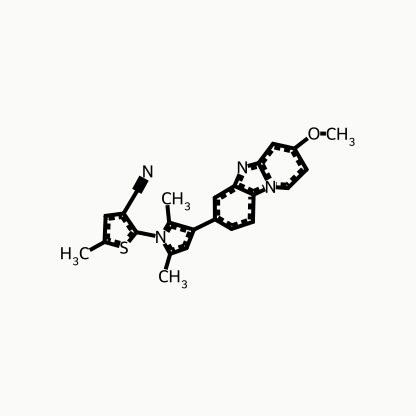 COc1ccn2c(c1)nc1cc(-c3cc(C)n(-c4sc(C)cc4C#N)c3C)ccc12